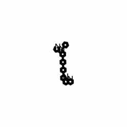 c1ccc(-n2c3ccc(-c4ccc(-c5ccc(-c6ccc7ccc8cccnc8c7n6)cc5)cc4)cc3c3cccnc32)cc1